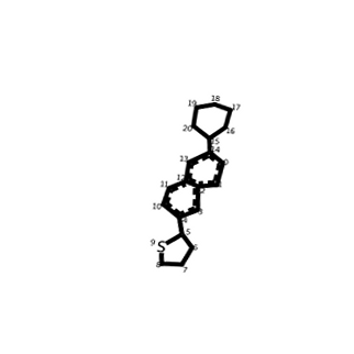 c1cc2cc(C3CCCS3)ccc2cc1C1CCCCC1